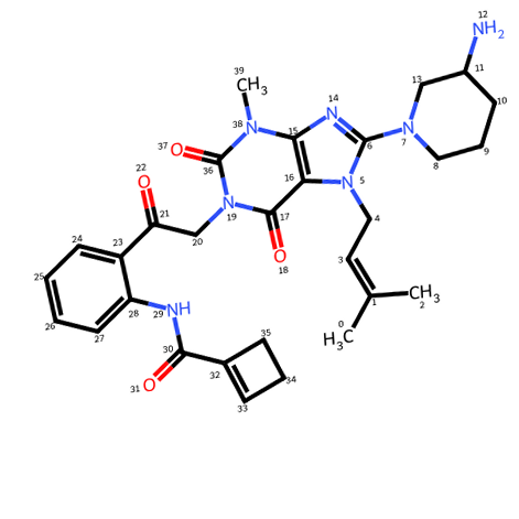 CC(C)=CCn1c(N2CCCC(N)C2)nc2c1c(=O)n(CC(=O)c1ccccc1NC(=O)C1=CCC1)c(=O)n2C